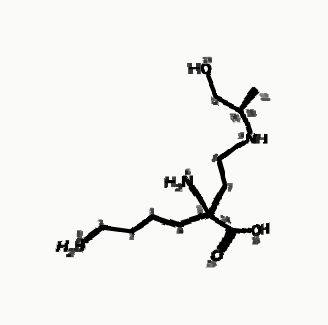 BCCCCC(N)(CCN[C@H](C)CO)C(=O)O